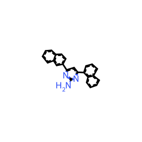 Nc1nc(-c2ccc3ccccc3c2)cc(-c2cccc3ccccc23)n1